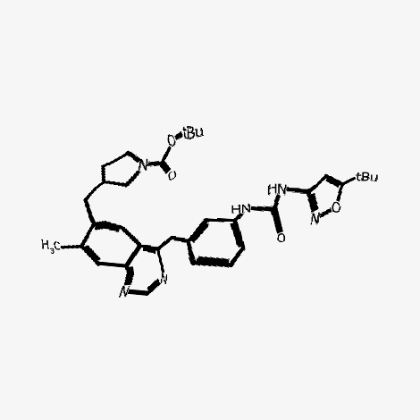 Cc1cc2ncnc(Cc3cccc(NC(=O)Nc4cc(C(C)(C)C)on4)c3)c2cc1CC1CCN(C(=O)OC(C)(C)C)C1